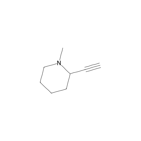 C#CC1CCCCN1C